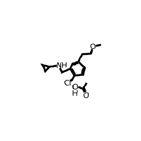 CC(=O)O.COCCc1ccc(Cl)c(CNC2CC2)c1